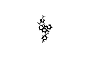 CCCn1cc([S+]([O-])N2CCC3=Cc4c(cnn4-c4ccc(F)cc4)CC3(C(=O)c3ccccn3)C2)cn1